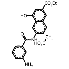 CC(=O)O.CCOC(=O)c1cc(O)c2cc(NC(=O)c3cccc(N)c3)ccc2c1